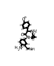 COc1ccc(C(NC2CC2)C(=O)Nc2ccc(N)c(C=N)c2)cc1